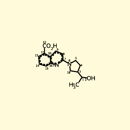 CC(O)C1CCN(c2ccc3c(C(=O)O)cccc3n2)C1